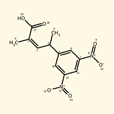 CC(=CC(C)c1cc([N+](=O)[O-])cc([N+](=O)[O-])c1)C(=O)O